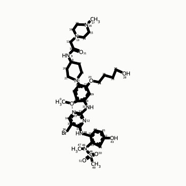 COc1cc(N2CCC(NC(=O)CN3CCN(C)CC3)CC2)c(OCCCCO)cc1Nc1ncc(Br)c(Nc2ccc(O)cc2N(C)S(C)(=O)=O)n1